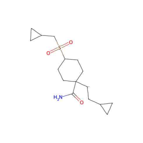 NC(=O)C1([CH]CC2CC2)CCC(S(=O)(=O)CC2CC2)CC1